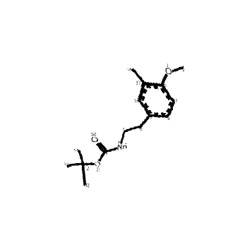 COc1ccc(CCNC(=O)OC(C)(C)C)cc1C